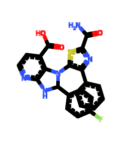 NC(=O)c1nc(-c2ccccc2)c(N2c3c(C(=O)O)ccnc3NC2c2ccc(F)cc2)s1